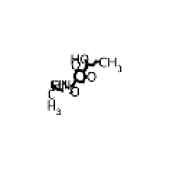 CCCC(O)=C1C(=O)CC(C(=O)NCC(C)C)CC1=O